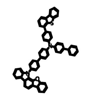 c1ccc(-c2ccc(N(c3ccc(-c4ccc(-n5c6ccccc6c6ccc7c8ccccc8oc7c65)cc4)cc3)c3ccc(-c4cccc5c4sc4ccccc45)cc3)cc2)cc1